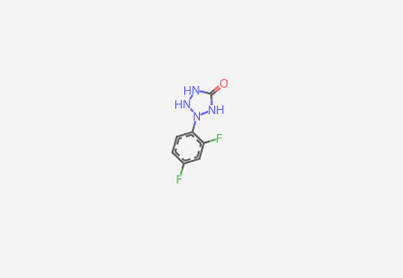 O=C1NNN(c2ccc(F)cc2F)N1